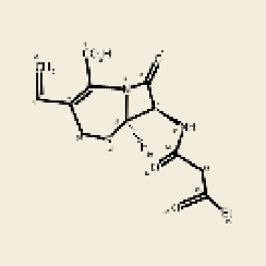 C=CC1=C(C(=O)O)N2C(=O)[C@@H](NC(=O)CC(=O)CC)[C@H]2SC1